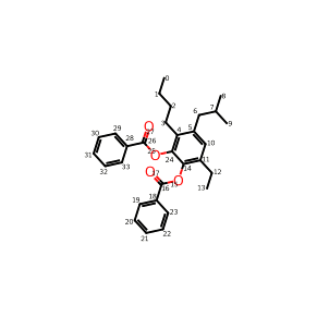 CCCCc1c(CC(C)C)cc(CC)c(OC(=O)c2ccccc2)c1OC(=O)c1ccccc1